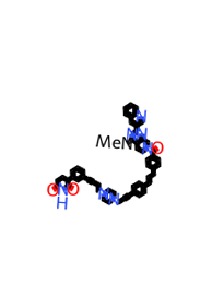 CNc1nc(-c2cnc3ccccc3c2)nc2c1CCN(C(=O)c1ccc(C/C=C/c3ccc(C#CCN4CCN(CCC#Cc5cccc(C6CCC(=O)NC6=O)c5)CC4)cc3)cc1)C2